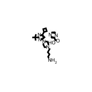 CC(C)(C)c1nc(C2CCC2)cc(N2CCN(CCCCN)CC2)n1.O=C(O)c1cnccn1